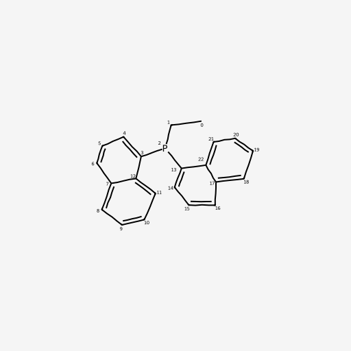 CCP(c1cccc2ccccc12)c1cccc2ccccc12